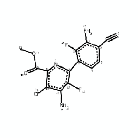 C#Cc1ccc(-c2nc(C(=O)OC)c(Cl)c(N)c2F)c(F)c1P